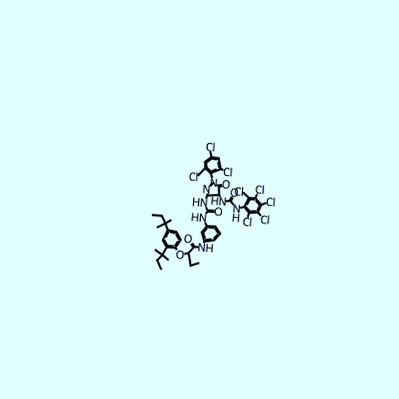 CCC(Oc1ccc(C(C)(C)CC)cc1C(C)(C)CC)C(=O)Nc1cccc(NC(=O)NC2=NN(c3c(Cl)cc(Cl)cc3Cl)C(=O)C2NC(=O)Nc2c(Cl)c(Cl)c(Cl)c(Cl)c2Cl)c1